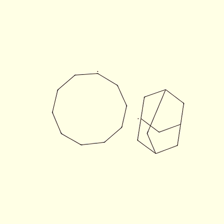 C1[C]2CC3CC1CC(C2)C3.[CH]1CCCCCCCCC1